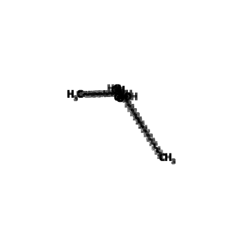 CCCCCCCCCCCCCCCCCCCCCCCCCCCCC(O)C(=O)N[C@H](CO)[C@H](O)C(O)CCCCCCCCCCCCCC